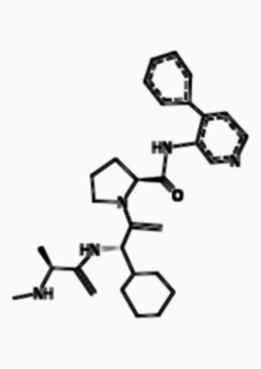 C=C(N[C@H](C(=C)N1CCC[C@H]1C(=O)Nc1cnccc1-c1ccccc1)C1CCCCC1)[C@H](C)NC